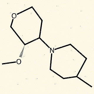 CO[C@@H]1COCCC1N1CCC(C)CC1